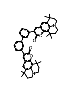 CC1(C)CCN2CCC(C)(C)c3c2c1cc1cc(-c2cccc(-c4cccc(-c5cc6cc7c8c(c6oc5=O)C(C)(C)CCN8CCC7(C)C)c4)c2)c(=O)oc31